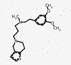 COc1ccc(CCN(C)CCCN2CCc3sccc3C2)cc1OC